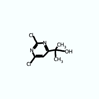 CC(C)(O)c1cc(Cl)nc(Cl)n1